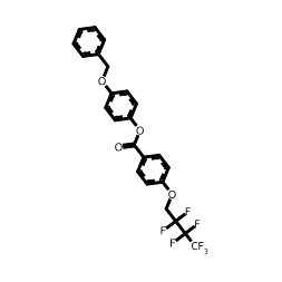 O=C(Oc1ccc(OCc2ccccc2)cc1)c1ccc(OCC(F)(F)C(F)(F)C(F)(F)F)cc1